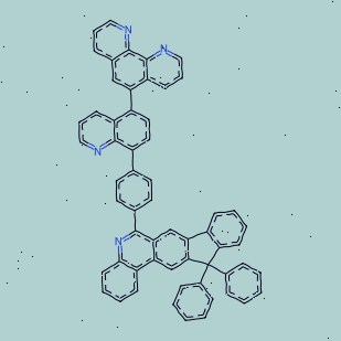 c1ccc(C2(c3ccccc3)c3ccccc3-c3cc4c(-c5ccc(-c6ccc(-c7cc8cccnc8c8ncccc78)c7cccnc67)cc5)nc5ccccc5c4cc32)cc1